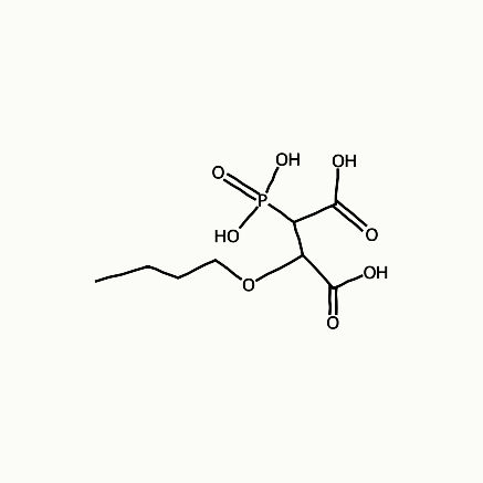 CCCCOC(C(=O)O)C(C(=O)O)P(=O)(O)O